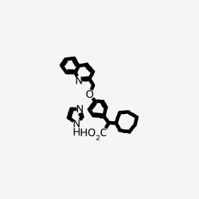 O=C(O)C(c1ccc(OCc2ccc3ccccc3n2)cc1)C1CCCCCC1.c1c[nH]cn1